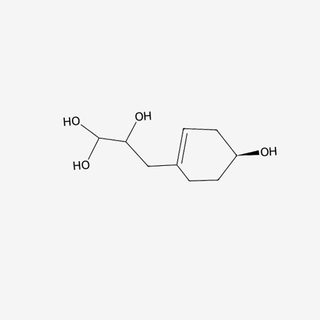 OC(O)C(O)CC1=CC[C@@H](O)CC1